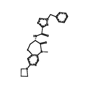 CN1C(=O)[C@@H](NC(=O)c2ncn(Cc3ccccc3)n2)CSc2cc(N3CCC3)ncc21